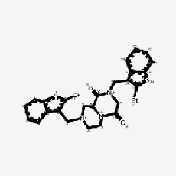 CCc1sc2ccccc2c1CN1CCN2C(=O)CN(Cc3c(CC)sc4ccccc34)C(=O)C2C1